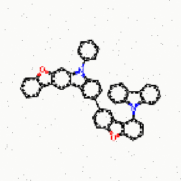 c1ccc(-n2c3ccc(-c4ccc5oc6cccc(-n7c8ccccc8c8ccccc87)c6c5c4)cc3c3cc4c(cc32)oc2ccccc24)cc1